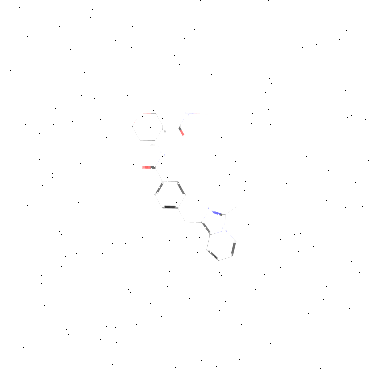 Cc1nc(Cc2ccc(C(=O)N[C@@H]3CCOC[C@@H]3C(=O)NO)cc2)c2ccccn12